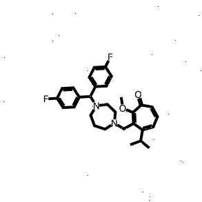 COc1c(CN2CCCN(C(c3ccc(F)cc3)c3ccc(F)cc3)CC2)c(C(C)C)cccc1=O